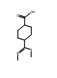 CN=C(SC)C1CCC(C(=O)O)CC1